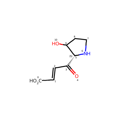 O=C(O)C=CC(=O)[C@H]1NCCC1O